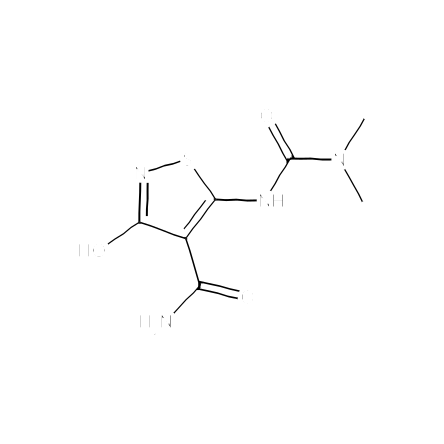 CN(C)C(=O)Nc1snc(O)c1C(N)=O